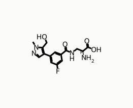 Cn1ncc(-c2cc(F)cc(C(=O)NC[C@@H](N)C(=O)O)c2)c1CO